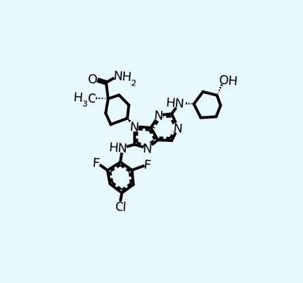 C[C@]1(C(N)=O)CC[C@H](n2c(Nc3c(F)cc(Cl)cc3F)nc3cnc(N[C@H]4CCC[C@@H](O)C4)nc32)CC1